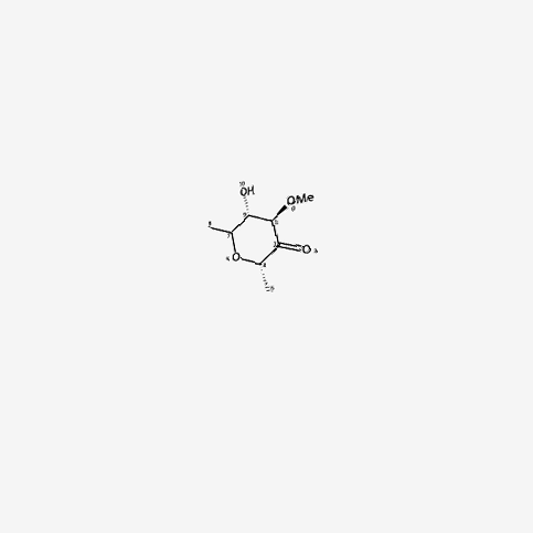 CO[C@H]1C(=O)[C@H](C)OC(C)[C@@H]1O